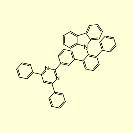 c1ccc(-c2cc(-c3ccccc3)nc(-c3cccc(-c4cccc(-c5ccccc5)c4-n4c5ccccc5c5ccccc54)c3)n2)cc1